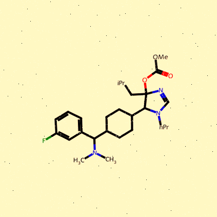 CCCN1C=NC(CC(C)C)(OC(=O)OC)C1C1CCC(C(c2cccc(F)c2)N(C)C)CC1